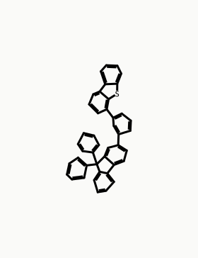 c1ccc(C2(c3ccccc3)c3ccccc3-c3ccc(-c4cccc(-c5cccc6c5sc5ccccc56)c4)cc32)cc1